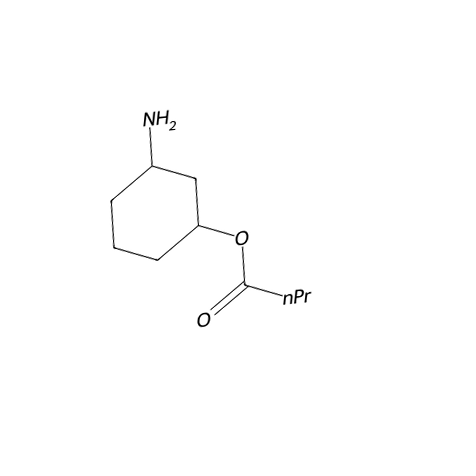 CCCC(=O)OC1CCCC(N)C1